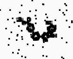 CC(C)(C)OC(=O)N1CCN(c2cccc(-c3cnc4[nH]c5cnc(C#N)cc5c4c3)c2)CC1